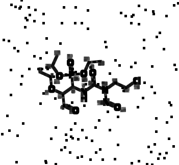 CCOC(C=O)C(NC(=O)N(CCCl)N=O)P(=O)(OCC)OCC